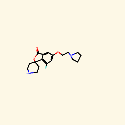 O=C1OC2(CCNCC2)c2c(F)cc(OCCN3CCCC3)cc21